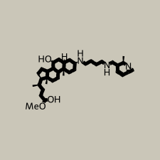 COC(O)CC[C@@H](C)[C@H]1CCC2C3C(CC[C@@]21C)[C@@]1(C)CC[C@@H](NCCCCNCC2C=CC4C[N@@]4[C@@H]2C)C[C@@H]1C[C@@H]3O